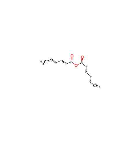 CC=CC=CC(=O)OC(=O)C=CC=CC